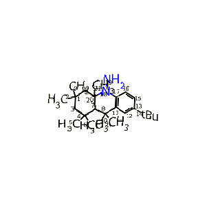 CC1(C)CC(C)(C)C2C(C)(C)c3cc(C(C)(C)C)ccc3N(N)C2(C)C1